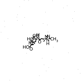 Cc1nnc(SCC(=O)NC(Cn2cc(C(=O)O)nn2)B(O)O)[nH]1